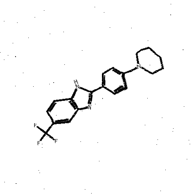 FC(F)(F)c1ccc2[nH]c(-c3ccc(N4CCCCC4)cc3)nc2c1